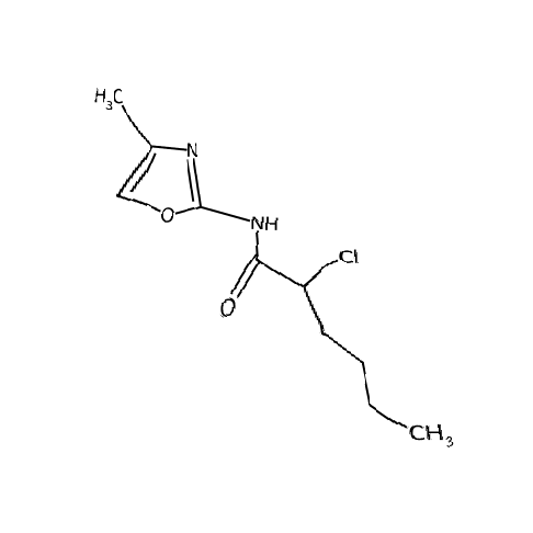 CCCCC(Cl)C(=O)Nc1nc(C)co1